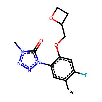 CC(C)c1cc(-n2nnn(C)c2=O)c(OCC2CCO2)cc1F